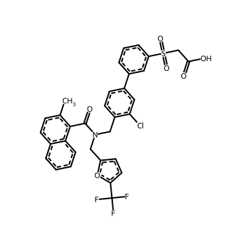 Cc1ccc2ccccc2c1C(=O)N(Cc1ccc(C(F)(F)F)o1)Cc1ccc(-c2cccc(S(=O)(=O)CC(=O)O)c2)cc1Cl